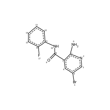 Nc1ncc(Br)cc1C(=O)Nc1ccccc1F